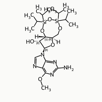 COc1nc(N)nc2c1ncn2[C@@H]1O[C@@H]2CO[Si](C(C)C)(C(C)C)O[Si](C(C)C)(C(C)C)O[C@H]2[C@H]1O